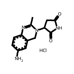 CC1=Nc2ccc(N)cc2CN1C1CC(=O)NC1=O.Cl